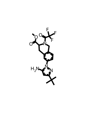 COC(=O)C1Cc2cc(-n3nc(C(C)(C)C)cc3N)ccc2CN1C(=O)C(F)(F)F